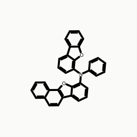 c1ccc(N(c2cccc3c2oc2ccccc23)c2cccc3c2oc2c4ccccc4ccc32)cc1